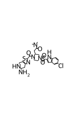 CN(C)C(=O)CC1CN(S(=O)(=O)c2cc3cc(Cl)ccc3[nH]2)CCN1C(=O)c1nc2c(s1)CNC(N)C2